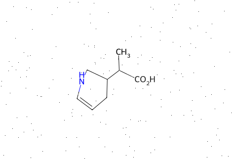 CC(C(=O)O)C1CC=CNC1